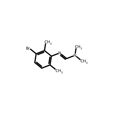 Cc1ccc(Br)c(C)c1N=CN(C)C